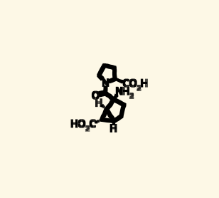 N[C@@]1(C(=O)N2CCC[C@H]2C(=O)O)CC[C@H]2[C@H](C(=O)O)[C@H]21